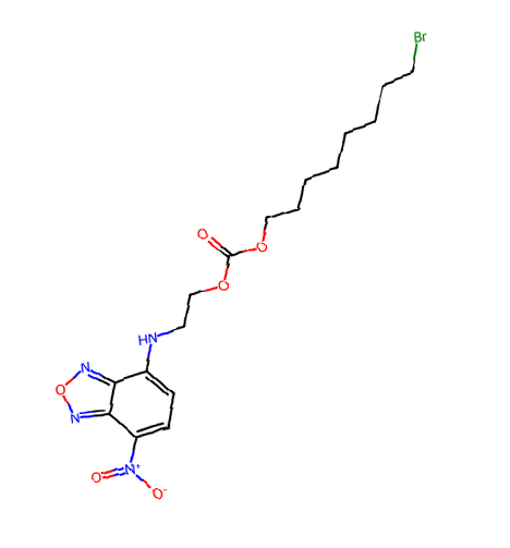 O=C(OCCCCCCCCBr)OCCNc1ccc([N+](=O)[O-])c2nonc12